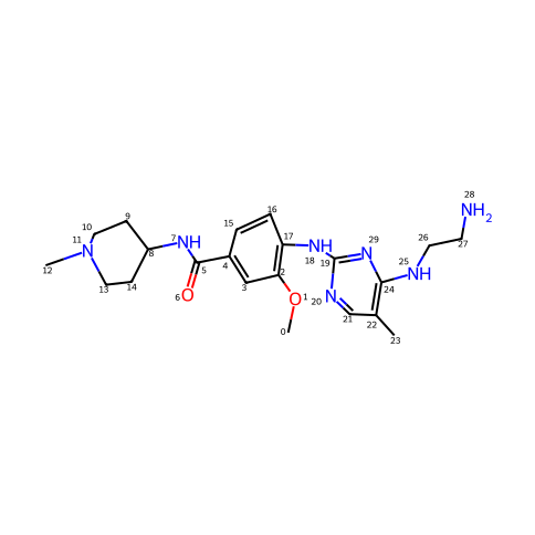 COc1cc(C(=O)NC2CCN(C)CC2)ccc1Nc1ncc(C)c(NCCN)n1